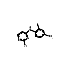 Cc1cc(N)ccc1Nc1ccnc(Cl)n1